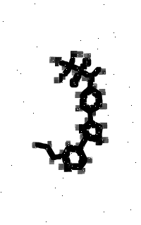 CCCc1cc(-c2nc(-c3ccc(N(C)S(=O)(=O)C(F)(F)F)cc3)cs2)ccn1